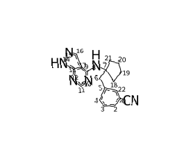 N#Cc1cccc(CC2(Nc3ncnc4[nH]ncc34)CCCC2)c1